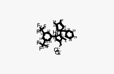 CC1=CC(C2=C(C)C(C)=C[C]2([Hf+2])c2cc(C(F)(F)F)cc(C(F)(F)F)c2)(c2ccccc2)C=C1C.[Cl-].[Cl-]